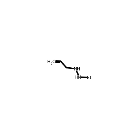 C=CCNNCC